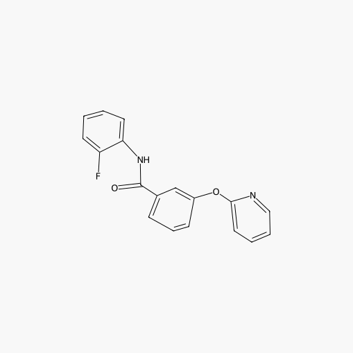 O=C(Nc1ccccc1F)c1cccc(Oc2ccccn2)c1